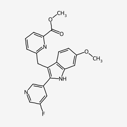 COC(=O)c1cccc(Cc2c(-c3cncc(F)c3)[nH]c3cc(OC)ccc23)n1